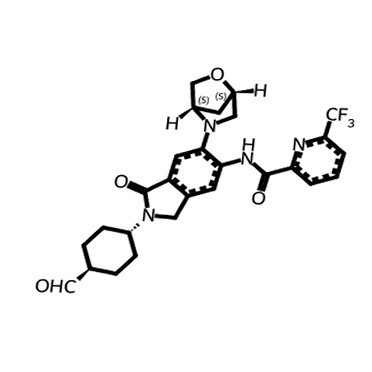 O=C[C@H]1CC[C@H](N2Cc3cc(NC(=O)c4cccc(C(F)(F)F)n4)c(N4C[C@@H]5C[C@H]4CO5)cc3C2=O)CC1